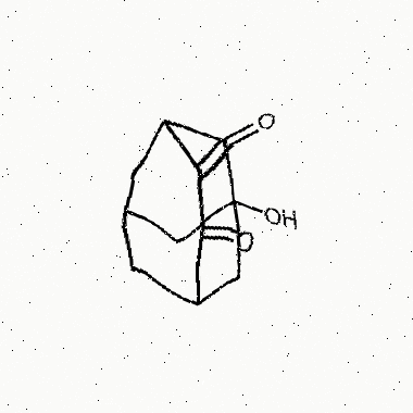 O=C1C(=O)C2CC3CC1CC(O)(C3)C2